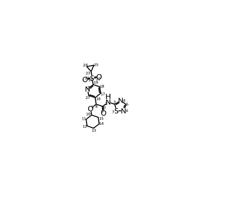 O=C(Nc1ncns1)C(OC1CCCCC1)c1ccc(S(=O)(=O)C2CC2)nc1